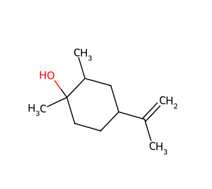 C=C(C)C1CCC(C)(O)C(C)C1